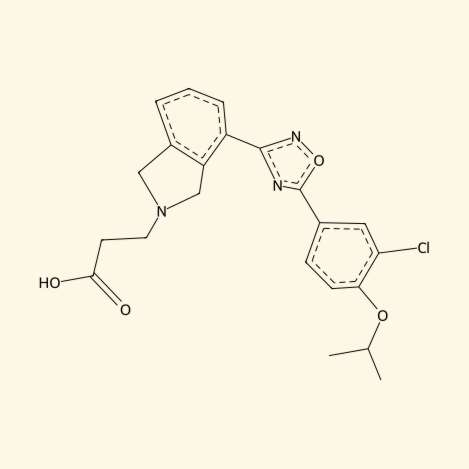 CC(C)Oc1ccc(-c2nc(-c3cccc4c3CN(CCC(=O)O)C4)no2)cc1Cl